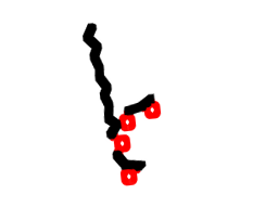 CCCCCCCCCCC(COCC1CO1)OCC1CO1